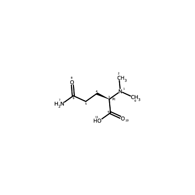 CN(C)[C@H](CCC(N)=O)C(=O)O